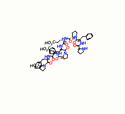 O=C(O)CC[C@H](NC(=O)[C@@H]1CCCN1C(=O)[C@@H](Cc1ccccc1)NC(=O)[C@@H]1CCCN1)C(=O)N[C@H](Cc1ccccc1)C(=O)N1CCC[C@H]1C(=O)N[C@H](CCC(=O)O)C(=O)N[C@H](Cc1ccccc1)C(=O)N1CCC[C@H]1C(=O)O